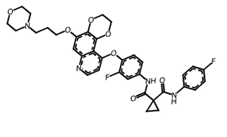 O=C(Nc1ccc(F)cc1)C1(C(=O)Nc2ccc(Oc3ccnc4cc(OCCCN5CCOCC5)c5c(c34)OCCO5)c(F)c2)CC1